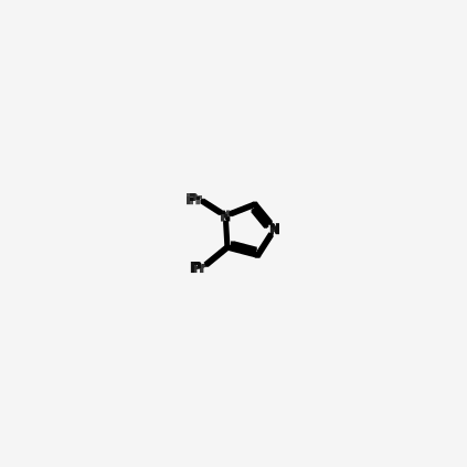 CC(C)c1cncn1C(C)C